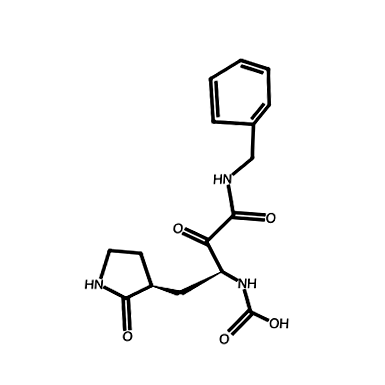 O=C(O)N[C@@H](C[C@@H]1CCNC1=O)C(=O)C(=O)NCc1ccccc1